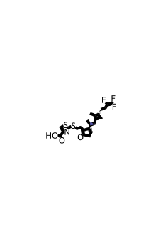 C/C(=C\C1C[C@@H](CCC(F)=C(F)F)C1C)[C@H]1CCC(=O)C1CCSc1nc(C(=O)O)cs1